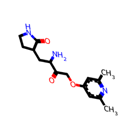 Cc1cc(OCC(=O)C(N)CC2CCNC2=O)cc(C)n1